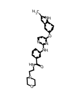 Cc1cc2cc(Oc3ccnc(Nc4cccc(C(=O)NCCN5CCOCC5)c4)n3)ccc2[nH]1